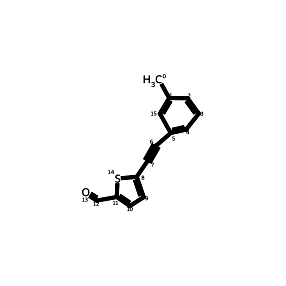 Cc1cccc(C#Cc2ccc(C=O)s2)c1